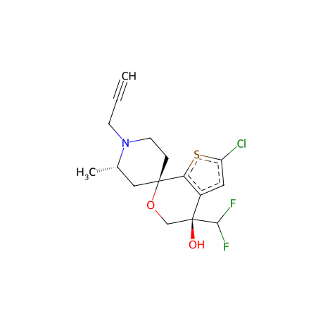 C#CCN1CC[C@]2(C[C@@H]1C)OC[C@@](O)(C(F)F)c1cc(Cl)sc12